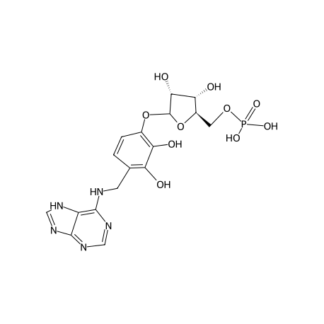 O=P(O)(O)OC[C@H]1OC(Oc2ccc(CNc3ncnc4nc[nH]c34)c(O)c2O)[C@H](O)[C@@H]1O